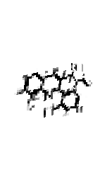 C=CCC(O)c1cc2cccc(C)c2nc1-c1ccccc1Cl